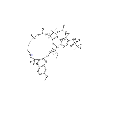 CC[C@@H]1[C@@H]2CN(C(=O)[C@H](C(C)(C)C)NC(=O)O[C@H](C)CCC/C=C/C(F)(F)c3nc4ccc(OC)cc4nc3O2)[C@@H]1C(=O)N[C@]1(C(=O)NS(=O)(=O)C2(C)CC2)C[C@H]1C(F)F